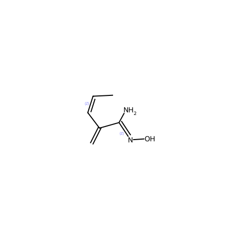 C=C(/C=C\C)/C(N)=N/O